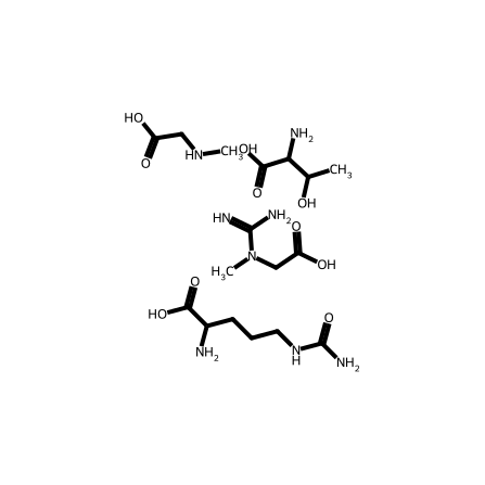 CC(O)C(N)C(=O)O.CN(CC(=O)O)C(=N)N.CNCC(=O)O.NC(=O)NCCCC(N)C(=O)O